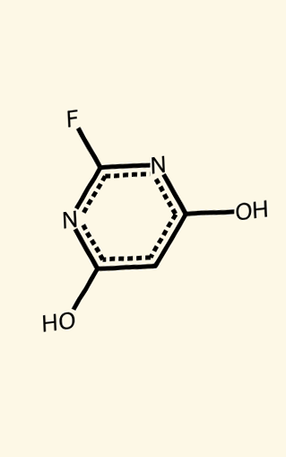 Oc1cc(O)nc(F)n1